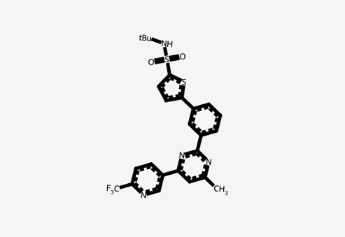 Cc1cc(-c2ccc(C(F)(F)F)nc2)nc(-c2cccc(-c3ccc(S(=O)(=O)NC(C)(C)C)s3)c2)n1